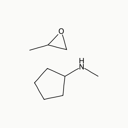 CC1CO1.CNC1CCCC1